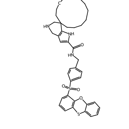 O=C(NCc1ccc(S(=O)(=O)c2cccc3c2Oc2ccccc2S3)cc1)c1cc2c([nH]1)C1(CCCCCCCCCCCC1)CNC2